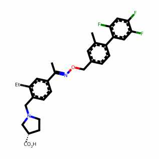 CCc1cc(/C(C)=N/OCc2ccc(-c3cc(F)c(F)cc3F)c(C)c2)ccc1CN1CC[C@H](C(=O)O)C1